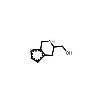 OCC1Cc2ccsc2CN1